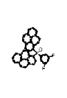 O=P(c1cc(F)cc(F)c1)(c1ccc2ccc3cccc4ccc1c2c34)c1ccc2ccc3cccc4ccc1c2c34